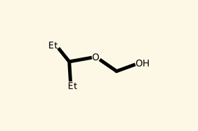 CCC(CC)OCO